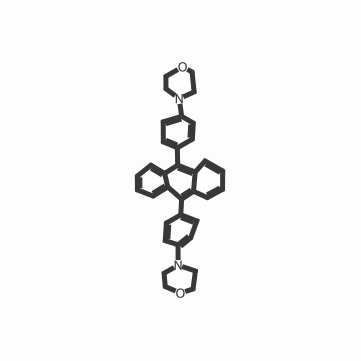 c1ccc2c(-c3ccc(N4CCOCC4)cc3)c3ccccc3c(-c3ccc(N4CCOCC4)cc3)c2c1